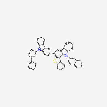 c1ccc2c(c#1)c1cc(-c3ccc4c(c3)c3ccccc3n4-c3cccc(-c4ccccc4)c3)c3sc4ccccc4c3c1n2-c1ccc2ccccc2c1